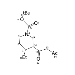 CCC1CCN(C(=O)OC(C)(C)C)CC1C(=O)CC(C)=O